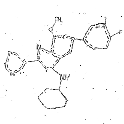 COc1cc(-c2ccc(F)c(F)c2)cc2c(NC3CCCCC3)nc(-c3cccnc3)nc12